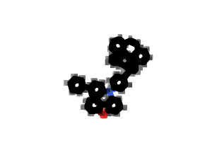 C1=Cc2ccccc2C2(c3ccccc31)c1ccccc1-c1c(-c3ccc(N(c4ccc(-c5ccccc5)cc4)c4cccc5oc6ccccc6c45)cc3)cccc12